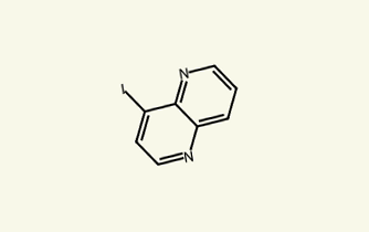 Ic1ccnc2cccnc12